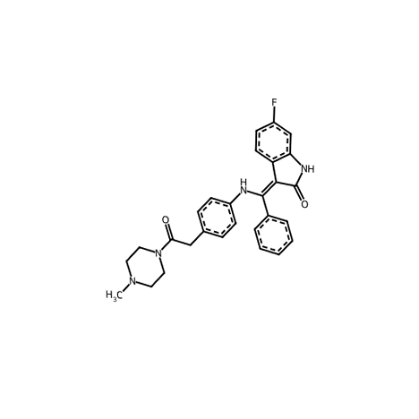 CN1CCN(C(=O)Cc2ccc(NC(=C3C(=O)Nc4cc(F)ccc43)c3ccccc3)cc2)CC1